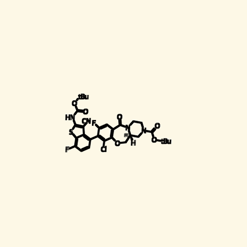 CC(C)(C)OC(=O)Nc1sc2c(F)ccc(-c3c(F)cc4c(c3Cl)OC[C@H]3CN(C(=O)OC(C)(C)C)CCN3C4=O)c2c1C#N